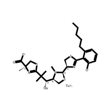 CCCCCc1cccc([O-])c1C1=N[C@@H]([C@H]2SC[C@@H]([C@H](O)C(C)(C)C3=N[C@@](C)(C(=O)[O-])CS3)N2C)CS1.[Cu+2]